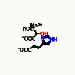 CCCCCCCCC(O)C(=O)[O-].O=C([O-])C=Cc1c[nH]cn1.[Mn+2]